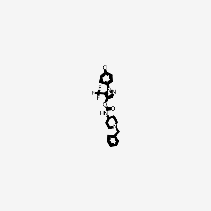 O=C(NC1CCN(Cc2ccccc2)CC1)Oc1cnn(-c2ccc(Cl)cc2)c1C(F)(F)F